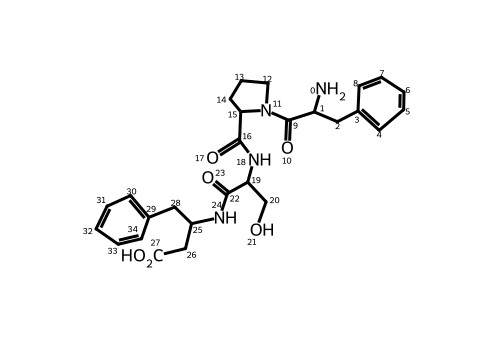 NC(Cc1ccccc1)C(=O)N1CCCC1C(=O)NC(CO)C(=O)NC(CC(=O)O)Cc1ccccc1